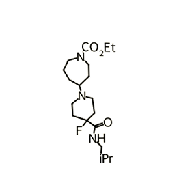 CCOC(=O)N1CCCC(N2CCC(F)(C(=O)NCC(C)C)CC2)CC1